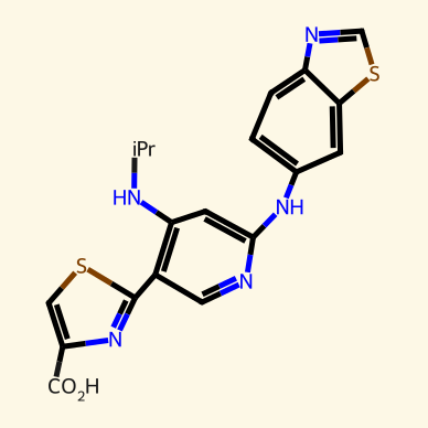 CC(C)Nc1cc(Nc2ccc3ncsc3c2)ncc1-c1nc(C(=O)O)cs1